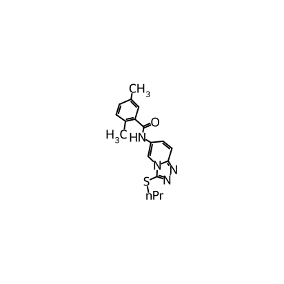 CCCSc1nnc2ccc(NC(=O)c3cc(C)ccc3C)cn12